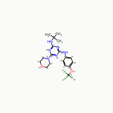 CC(C)(C)Nc1nc(Nc2ccc(OC(F)(F)F)cc2)nc(N2CCOCC2)n1